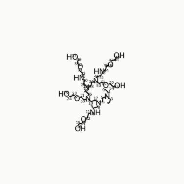 CCN(CC)CCN(CCNCCOCCO)CCN(CCOCCO)CCN(CCNCCOCCO)CCN(CCNCCOCCO)CCOCCO